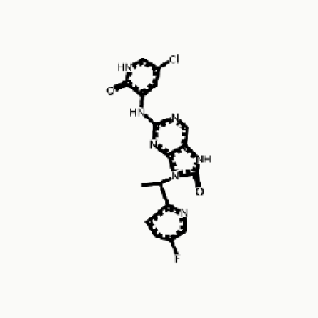 CC(c1ccc(F)cn1)n1c(=O)[nH]c2cnc(Nc3cc(Cl)c[nH]c3=O)nc21